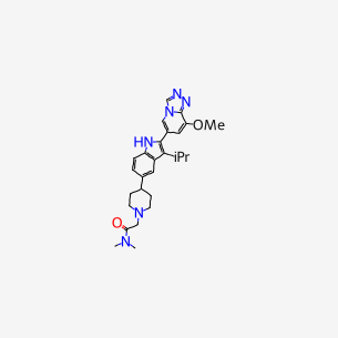 COc1cc(-c2[nH]c3ccc(C4CCN(CC(=O)N(C)C)CC4)cc3c2C(C)C)cn2cnnc12